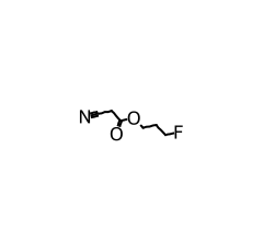 N#CCC(=O)OCCCF